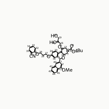 COc1cc(CO[C@H]2CN(C(=O)OC(C)(C)C)C[C@@H](OC[C@H](O)CO)[C@@H]2c2ccc(OCCCOc3ccccc3C#N)cc2)cc2ccccc12